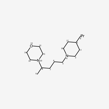 CC(C)C1CCN(CCCC(C)N2CCOCC2)CC1